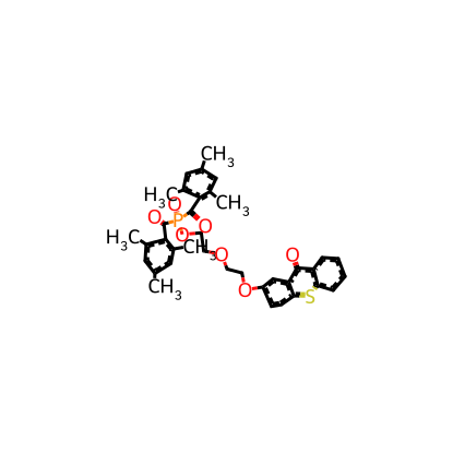 Cc1cc(C)c(C(=O)P(=O)(OCCOCCOc2ccc3sc4ccccc4c(=O)c3c2)C(=O)c2c(C)cc(C)cc2C)c(C)c1